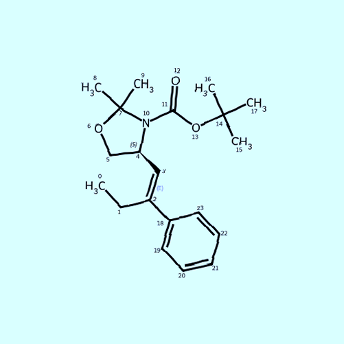 CC/C(=C\[C@H]1COC(C)(C)N1C(=O)OC(C)(C)C)c1ccccc1